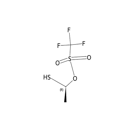 C[C@@H](S)OS(=O)(=O)C(F)(F)F